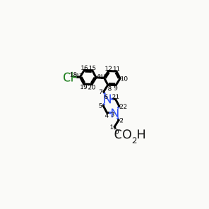 O=C(O)CCN1CCN(Cc2ccccc2-c2ccc(Cl)cc2)CC1